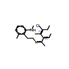 C/C=C(C(C)=NCCc1c(C)cccc1NC)\C(C)=C(\Cl)CC